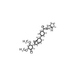 COc1cc(OC)c(-c2cn3ccc(-c4ccc(C(=O)NCC5CCCN5)cc4)cc3n2)cc1Cl